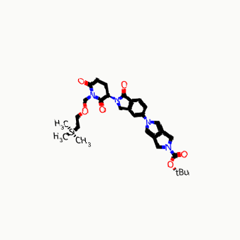 CC(C)(C)OC(=O)N1Cc2cn(-c3ccc4c(c3)CN([C@@H]3CCC(=O)N(COCC[Si](C)(C)C)C3=O)C4=O)cc2C1